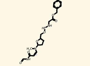 CN(/C=C\C(=O)NC=O)C1CCC(COPNCC(=O)OCc2ccccc2)O1